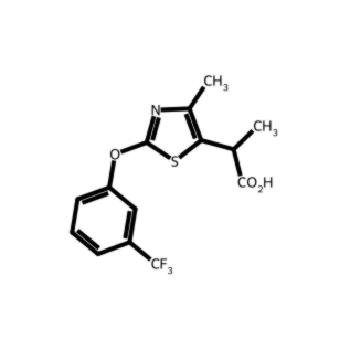 Cc1nc(Oc2cccc(C(F)(F)F)c2)sc1C(C)C(=O)O